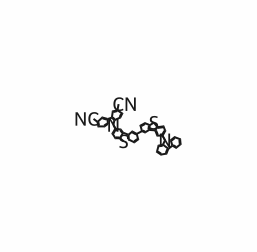 N#Cc1ccc2c(c1)c1cc(C#N)ccc1n2-c1ccc2sc3ccc(-c4ccc5sc6ccc(-n7c8ccccc8c8ccccc87)cc6c5c4)cc3c2c1